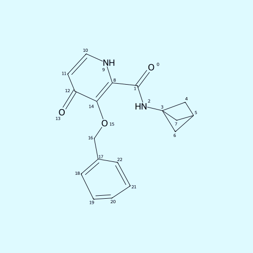 O=C(NC12CC(C1)C2)c1[nH]ccc(=O)c1OCc1ccccc1